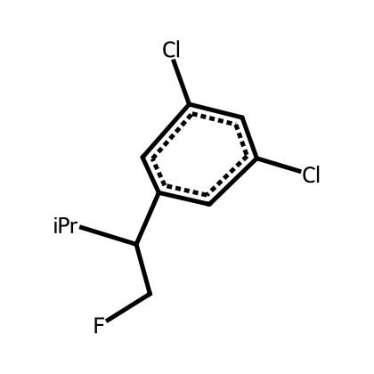 CC(C)C(CF)c1cc(Cl)cc(Cl)c1